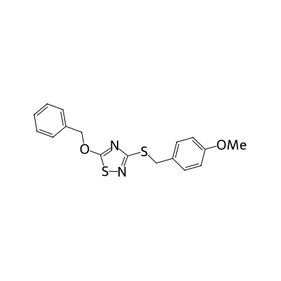 COc1ccc(CSc2nsc(OCc3ccccc3)n2)cc1